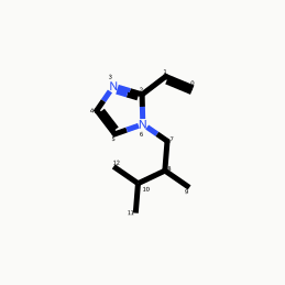 C=Cc1nccn1CC(C)C(C)C